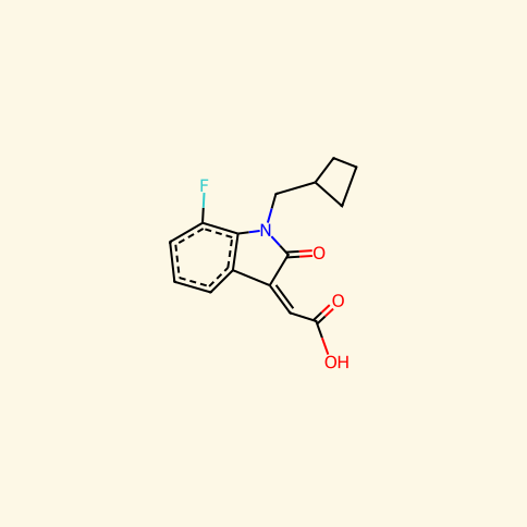 O=C(O)C=C1C(=O)N(CC2CCC2)c2c(F)cccc21